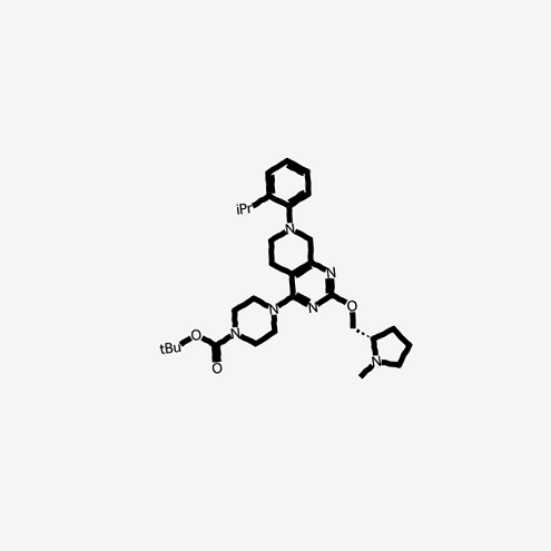 CC(C)c1ccccc1N1CCc2c(nc(OC[C@@H]3CCCN3C)nc2N2CCN(C(=O)OC(C)(C)C)CC2)C1